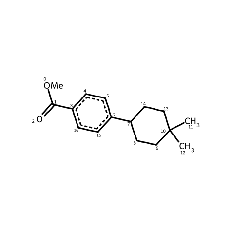 COC(=O)c1ccc(C2CCC(C)(C)CC2)cc1